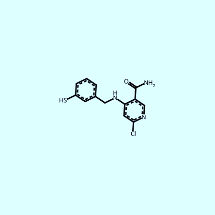 NC(=O)c1cnc(Cl)cc1NCc1cccc(S)c1